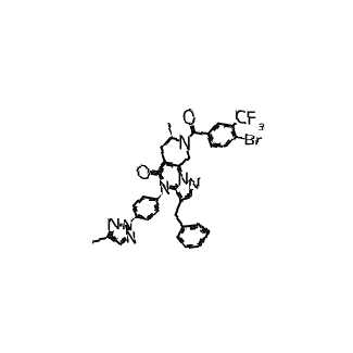 Cc1cnn(-c2ccc(-n3c(=O)c4c(n5ncc(Cc6ccccc6)c35)CN(C(=O)c3ccc(Br)c(C(F)(F)F)c3)[C@H](C)C4)cc2)n1